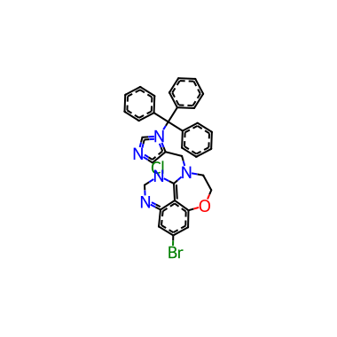 ClN1CN=c2cc(Br)cc3c2=C1N(Cc1cncn1C(c1ccccc1)(c1ccccc1)c1ccccc1)CCO3